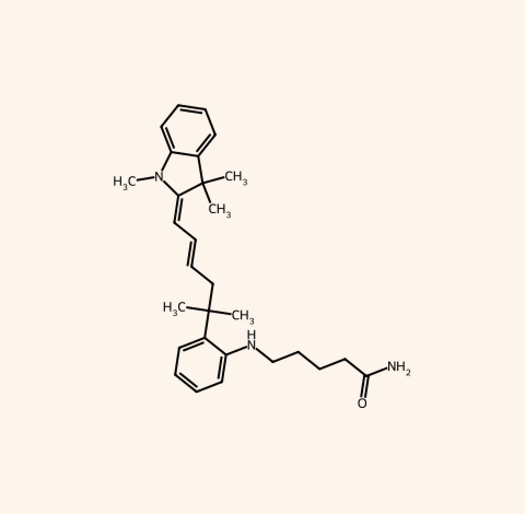 CN1/C(=C/C=C/CC(C)(C)c2ccccc2NCCCCC(N)=O)C(C)(C)c2ccccc21